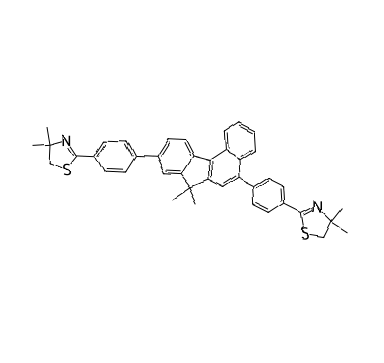 CC1(C)CSC(c2ccc(-c3ccc4c(c3)C(C)(C)c3cc(-c5ccc(C6=NC(C)(C)CS6)cc5)c5ccccc5c3-4)cc2)=N1